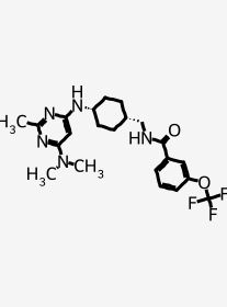 Cc1nc(N[C@H]2CC[C@@H](CNC(=O)c3cccc(OC(F)(F)F)c3)CC2)cc(N(C)C)n1